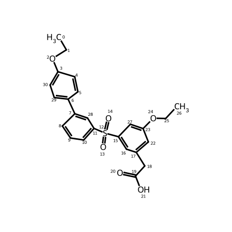 CCOc1ccc(-c2cccc(S(=O)(=O)c3cc(CC(=O)O)cc(OCC)c3)c2)cc1